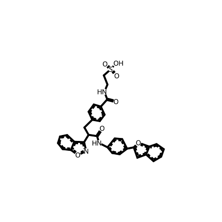 O=C(NCCS(=O)(=O)O)c1ccc(CC(C(=O)Nc2ccc(-c3cc4ccccc4o3)cc2)c2noc3ccccc23)cc1